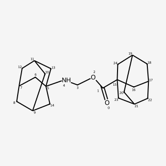 O=C(OCNC12CC3CC(CC(C3)C1)C2)C12CC3CC(CC(C3)C1)C2